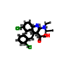 CCN(CC)c1nc2ccc(Cl)cc2c(Cc2ccccc2Cl)c1C(=O)O